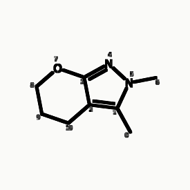 Cc1c2c(nn1C)OCCC2